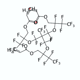 C=CC(=O)OCC(F)(OC(F)(F)C(C(F)(F)F)(C(F)(F)OC(F)(COC(=O)C=C)C(F)(F)C(F)(F)F)C(F)(F)OC(F)(COC(=O)C=C)C(F)(F)C(F)(F)F)C(F)(F)C(F)(F)F